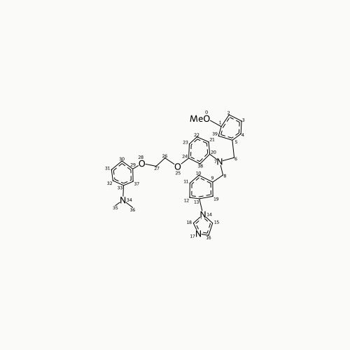 COc1cccc(CN(Cc2cccc(-n3ccnc3)c2)c2cccc(OCCOc3cccc(N(C)C)c3)c2)c1